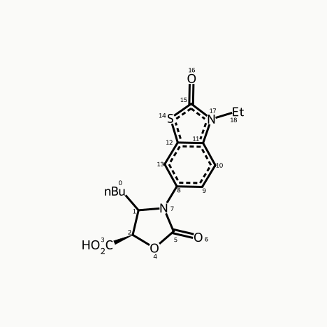 CCCCC1[C@H](C(=O)O)OC(=O)N1c1ccc2c(c1)sc(=O)n2CC